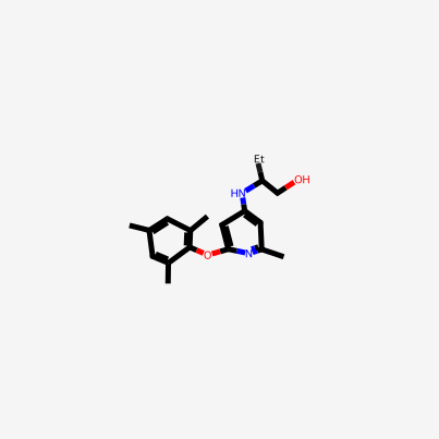 CCC(CO)Nc1cc(C)nc(Oc2c(C)cc(C)cc2C)c1